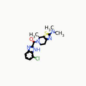 C[C@@H]1c2sc(N(C)C)nc2CCN1C(=O)c1nc2cccc(Cl)c2[nH]1